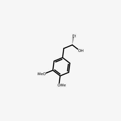 CC[C@H](O)Cc1ccc(OC)c(OC)c1